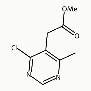 COC(=O)Cc1c(C)ncnc1Cl